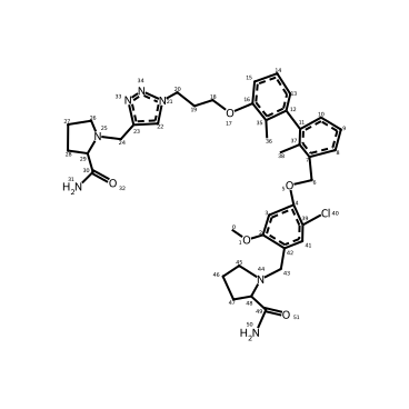 COc1cc(OCc2cccc(-c3cccc(OCCCn4cc(CN5CCCC5C(N)=O)nn4)c3C)c2C)c(Cl)cc1CN1CCCC1C(N)=O